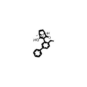 CCc1ccc(-c2ccccc2)cc1C1=C(O)[C@@]2(C)C=C[C@H](O2)C1=O